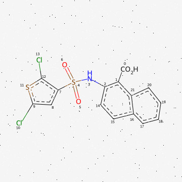 O=C(O)c1c(NS(=O)(=O)c2cc(Cl)sc2Cl)ccc2ccccc12